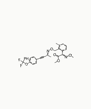 CO/N=C(/C(=O)OC)c1cccc(C)c1CO/N=C(\C)C#Cc1ccc(OC(F)(F)P)cc1